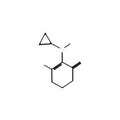 O=CN(C1=C(O)CCCC1=O)C1CC1